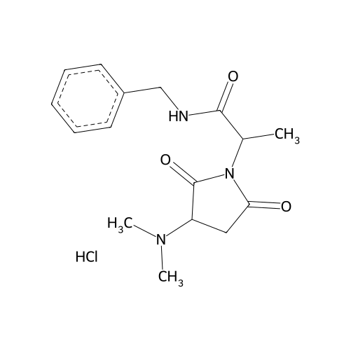 CC(C(=O)NCc1ccccc1)N1C(=O)CC(N(C)C)C1=O.Cl